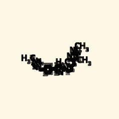 Cc1nc2nc(C)c(CC3CCN(c4ccc(-c5ccc(CN6CCN(C)CC6)cc5)cn4)C3)c(C)n2n1